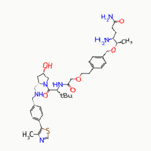 Cc1ncsc1-c1ccc(CNC[C@@H]2C[C@@H](O)CN2C(=O)[C@@H](NC(=O)COCCc2ccc(CO[C@H](C)[C@@H](N)CCC(N)=O)cc2)C(C)(C)C)cc1